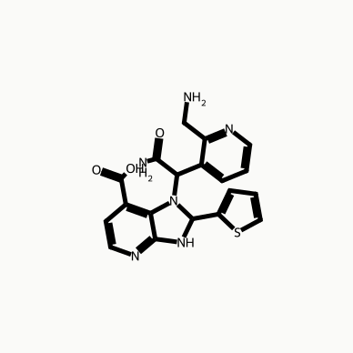 NCc1ncccc1C(C(N)=O)N1c2c(C(=O)O)ccnc2NC1c1cccs1